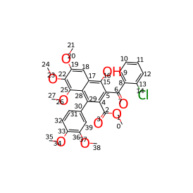 COC(=O)c1c(C(=O)c2ccccc2Cl)c(O)c2cc(OC)c(OC)c(OC)c2c1-c1ccc(OC)c(OC)c1